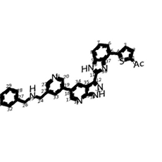 CC(=O)c1ccc(-c2cccc3[nH]c(-c4n[nH]c5ncc(-c6cncc(CNCc7ccccc7)c6)cc45)nc23)s1